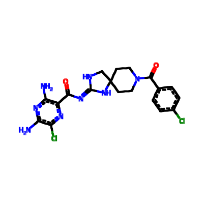 Nc1nc(N)c(C(=O)/N=C2\NCC3(CCN(C(=O)c4ccc(Cl)cc4)CC3)N2)nc1Cl